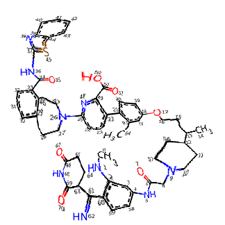 CNc1cc(NC(=O)CN2CCC(C(C)CCOc3ccc(-c4ccc(N5CCc6cccc(C(=O)Nc7nc8ccccc8s7)c6C5)nc4C(=O)O)c(C)c3)CC2)ccc1C(=N)C1CCC(=O)NC1=O